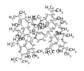 CC(C)c1cc(C(C)C)c2c(O)c(C(c3ccc(C(c4cc(C(C)C)c5c(O)c(C(C)C)cc(C(C)C)c5c4O)c4cc(C(C)C)c5c(O)c(C(C)C)cc(C(C)C)c5c4O)cc3)c3cc(C(C)C)c4c(O)c(C(C)C)cc(C(C)C)c4c3O)cc(C(C)C)c2c1O